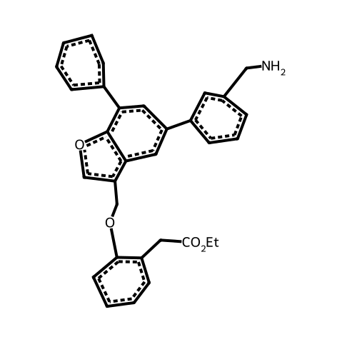 CCOC(=O)Cc1ccccc1OCc1coc2c(-c3ccccc3)cc(-c3cccc(CN)c3)cc12